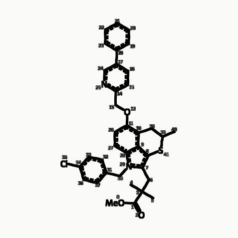 COC(=O)C(C)(C)Cc1c2c3c(c(OCc4ccc(-c5ccccc5)cn4)ccc3n1Cc1ccc(Cl)cc1)CC(C)S2